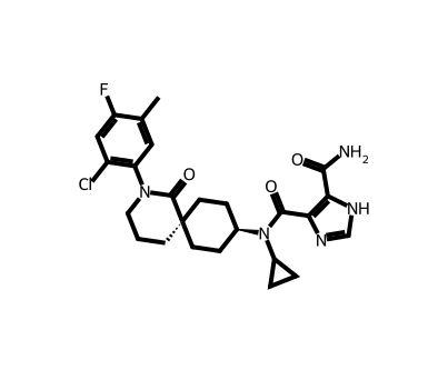 Cc1cc(N2CCC[C@]3(CC[C@H](N(C(=O)c4nc[nH]c4C(N)=O)C4CC4)CC3)C2=O)c(Cl)cc1F